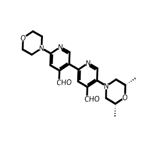 C[C@@H]1CN(c2cnc(-c3cnc(N4CCOCC4)cc3C=O)cc2C=O)C[C@H](C)O1